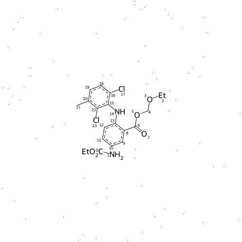 CCOC(N)=O.CCOCOC(=O)c1ccccc1Nc1c(Cl)ccc(C)c1Cl